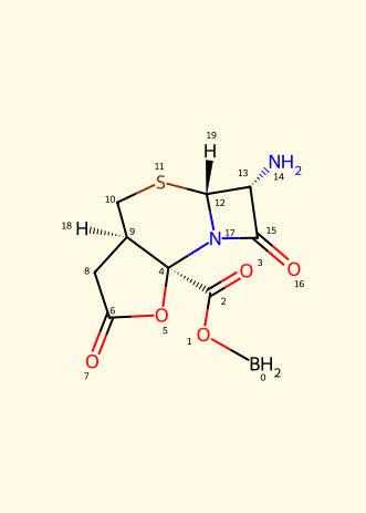 BOC(=O)[C@]12OC(=O)C[C@H]1CS[C@@H]1[C@H](N)C(=O)N12